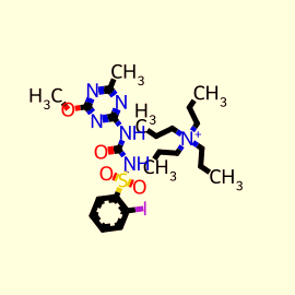 CCC[N+](CCC)(CCC)CCC.COc1nc(C)nc(NC(=O)NS(=O)(=O)c2ccccc2I)n1